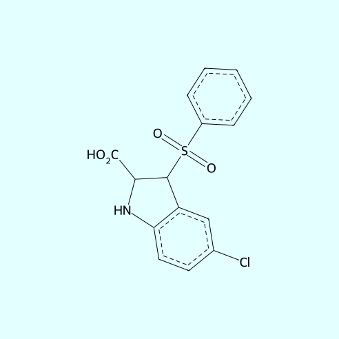 O=C(O)C1Nc2ccc(Cl)cc2C1S(=O)(=O)c1ccccc1